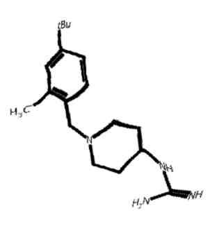 Cc1cc(C(C)(C)C)ccc1CN1CCC(NC(=N)N)CC1